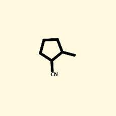 CC1CCCC1C#N